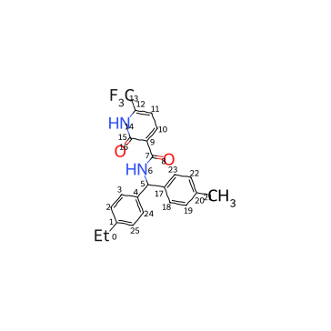 CCc1ccc(C(NC(=O)c2ccc(C(F)(F)F)[nH]c2=O)c2ccc(C)cc2)cc1